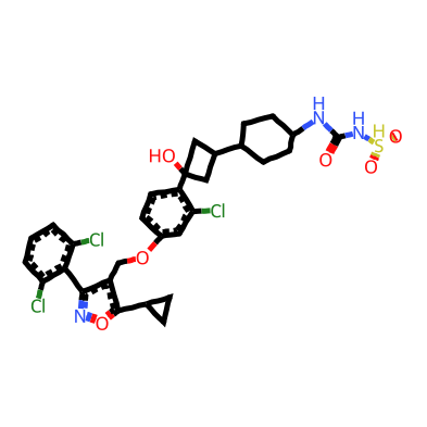 O=C(NC1CCC(C2CC(O)(c3ccc(OCc4c(-c5c(Cl)cccc5Cl)noc4C4CC4)cc3Cl)C2)CC1)N[SH](=O)=O